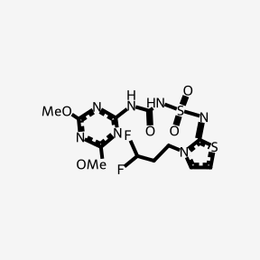 COc1nc(NC(=O)NS(=O)(=O)N=c2sccn2CCC(F)F)nc(OC)n1